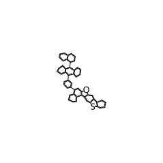 c1cc(-c2c3ccccc3c(-c3cccc4ccccc34)c3ccccc23)cc(-c2cc3oc4cc5c(cc4c3c3ccccc23)sc2ccccc25)c1